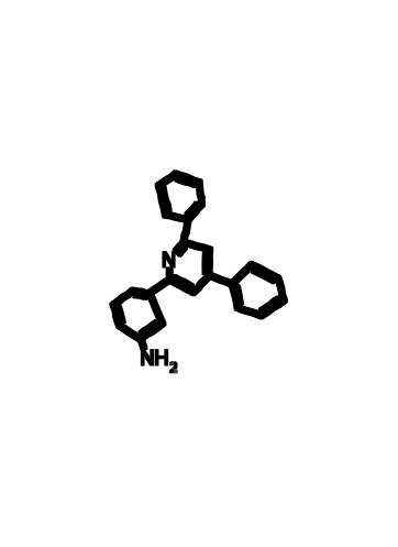 Nc1cccc(-c2cc(-c3ccccc3)cc(-c3ccccc3)n2)c1